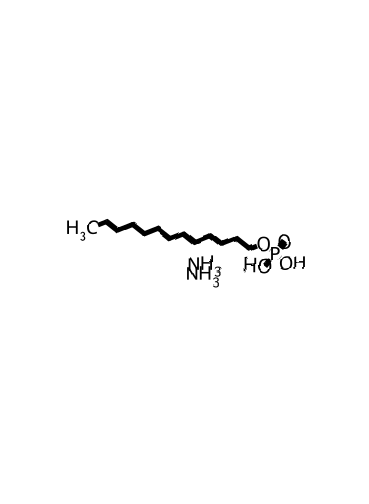 CCCCCCCCCCCCCOP(=O)(O)O.N.N